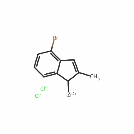 CC1=Cc2c(Br)cccc2[CH]1[Zr+2].[Cl-].[Cl-]